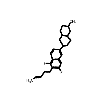 C/C=C/CCc1c(F)cc2cc(C3CCC4CC(C)CCC4C3)ccc2c1F